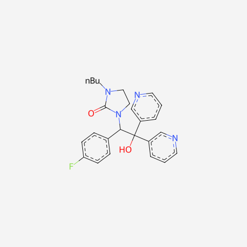 CCCCN1CCN(C(c2ccc(F)cc2)C(O)(c2cccnc2)c2cccnc2)C1=O